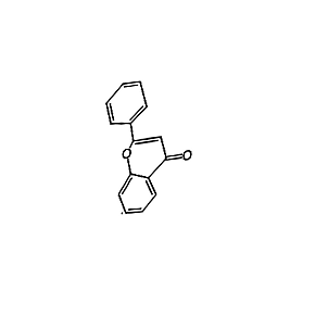 O=c1cc(-c2ccccc2)oc2c[c]ccc12